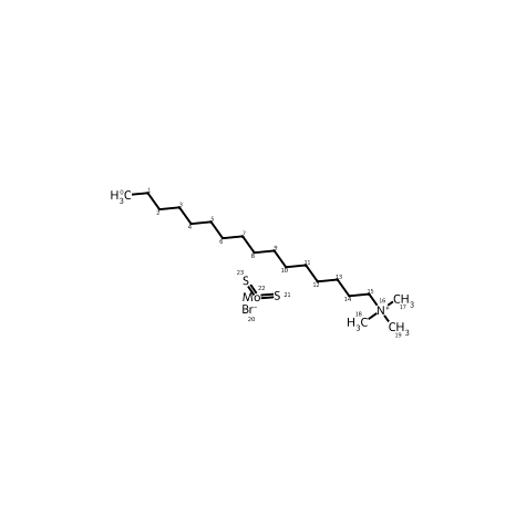 CCCCCCCCCCCCCCCC[N+](C)(C)C.[Br-].[S]=[Mo]=[S]